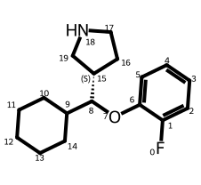 Fc1ccccc1OC(C1CCCCC1)[C@H]1CCNC1